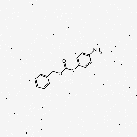 Nc1ccc(NC(=O)OCc2ccccc2)cc1